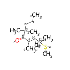 CCCC(C)(C)C(=O)C(C)CC(C)(C)SC